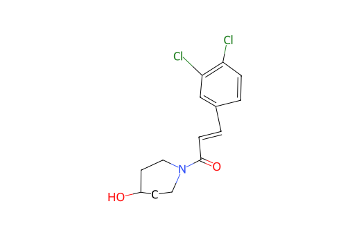 O=C(/C=C/c1ccc(Cl)c(Cl)c1)N1CCC(O)CC1